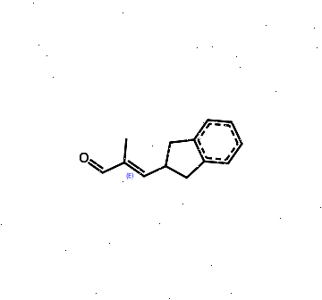 C/C(C=O)=C\C1Cc2ccccc2C1